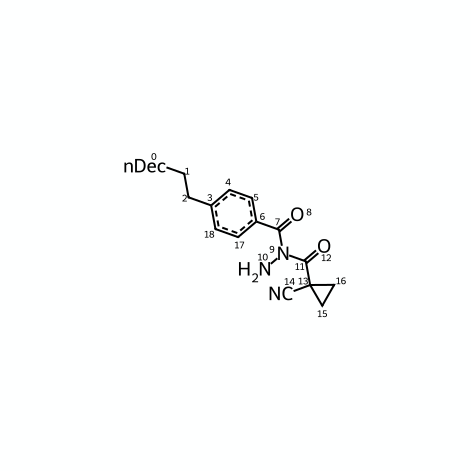 CCCCCCCCCCCCc1ccc(C(=O)N(N)C(=O)C2(C#N)CC2)cc1